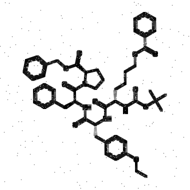 CCOc1ccc(C[C@@H](NC(=O)[C@H](CCCCOC(=O)c2ccccc2)NC(=O)OC(C)(C)C)C(=O)N[C@@H](Cc2ccccc2)C(=O)N2CCC[C@@H]2C(=O)OCc2ccccc2)cc1